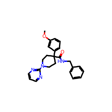 COc1cccc(C2(C(=O)NCc3ccccc3)CCN(c3ncccn3)CC2)c1